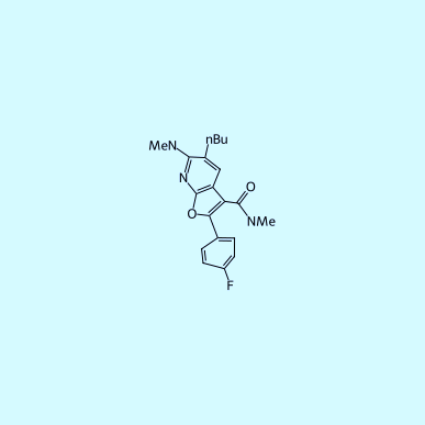 CCCCc1cc2c(C(=O)NC)c(-c3ccc(F)cc3)oc2nc1NC